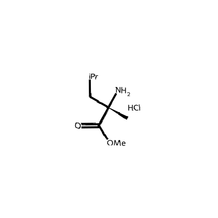 COC(=O)[C@@](C)(N)CC(C)C.Cl